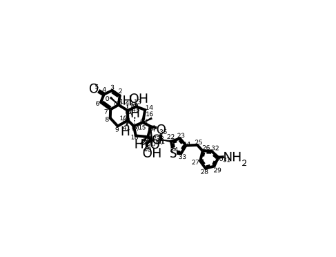 C[C@]12C=CC(=O)C=C1CC[C@@H]1[C@@H]2[C@@H](O)C[C@@]2(C)[C@H]1C[C@H]1O[C@H](c3cc(Cc4cccc(N)c4)cs3)O[C@]12C(=O)CO